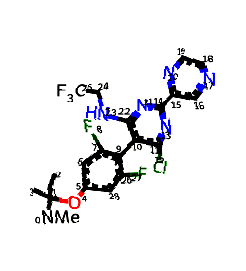 CNC(C)(C)Oc1cc(F)c(-c2c(Cl)nc(-c3cnccn3)nc2NCC(F)(F)F)c(F)c1